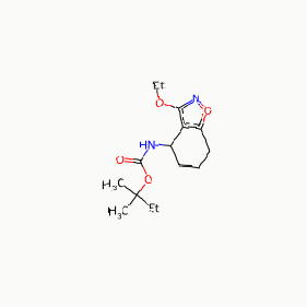 CCOc1noc2c1C(NC(=O)OC(C)(C)CC)CCC2